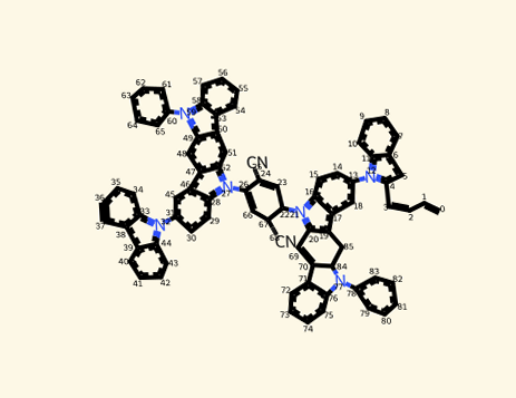 C=C/C=C\c1cc2ccccc2n1-c1ccc2c(c1)c1c(n2C2C=C(C#N)C(n3c4ccc(-n5c6ccc#cc6c6ccccc65)cc4c4cc5c(cc43)c3ccccc3n5-c3ccccc3)=CC2C#N)C=C2c3ccccc3N(c3ccccc3)C2C1